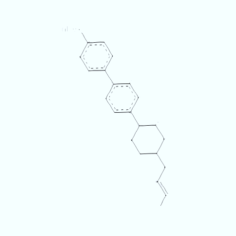 CCCCCCc1ccc(-c2ccc(C3CCC(C/C=C/F)CC3)cc2)cc1